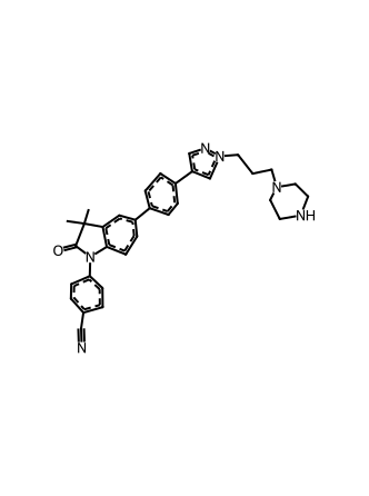 CC1(C)C(=O)N(c2ccc(C#N)cc2)c2ccc(-c3ccc(-c4cnn(CCCN5CCNCC5)c4)cc3)cc21